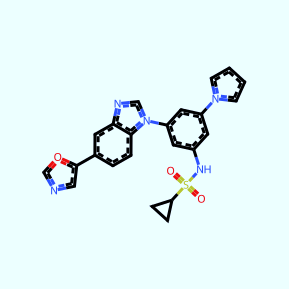 O=S(=O)(Nc1cc(-n2cccc2)cc(-n2cnc3cc(-c4cnco4)ccc32)c1)C1CC1